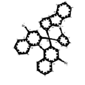 Brc1cc2c(c3ccccc13)-c1c(cc(Br)c3ccccc13)C21c2ccccc2-n2c3ccccc3c3cccc1c32